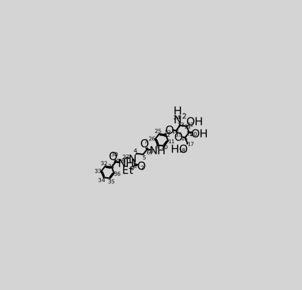 CCC(=O)N(CCC(=O)Nc1ccc(OC2OC(CO)C(O)C(O)C2N)cc1)CNC(=O)c1ccccc1